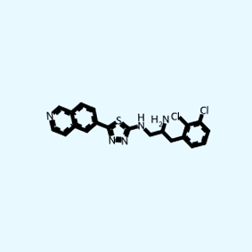 NC(CNc1nnc(-c2ccc3cnccc3c2)s1)Cc1cccc(Cl)c1Cl